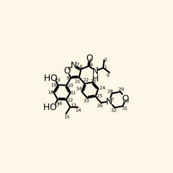 CC(C)NC(=O)c1noc(-c2cc(C(C)C)c(O)cc2O)c1-c1ccc(CN2CCOCC2)cc1